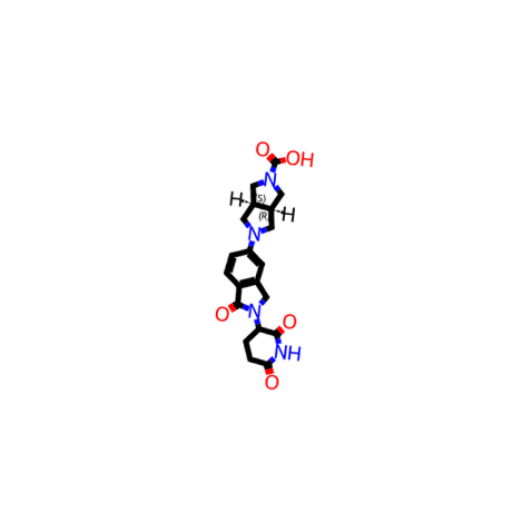 O=C1CCC(N2Cc3cc(N4C[C@H]5CN(C(=O)O)C[C@H]5C4)ccc3C2=O)C(=O)N1